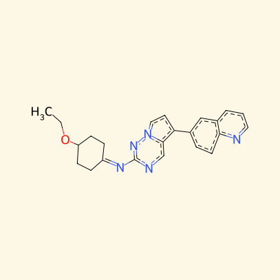 CCOC1CCC(=Nc2ncc3c(-c4ccc5ncccc5c4)ccn3n2)CC1